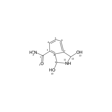 NC(=O)c1cccc2c1C(O)NC2O